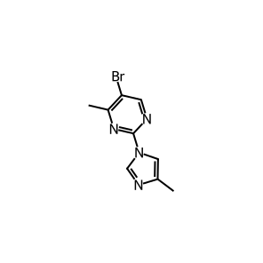 Cc1cn(-c2ncc(Br)c(C)n2)cn1